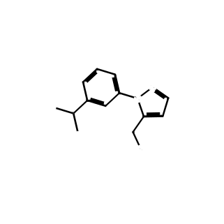 CC(C)c1cccc(-n2nccc2CN)c1